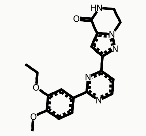 CCOc1cc(-c2nccc(-c3cc4n(n3)CCNC4=O)n2)ccc1OC